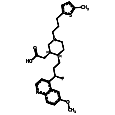 COc1ccc2nccc(C(F)CC[C@@H]3CCN(CCCc4ccc(C)s4)C[C@@H]3CC(=O)O)c2c1